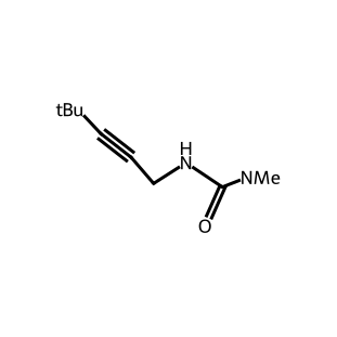 CNC(=O)NCC#CC(C)(C)C